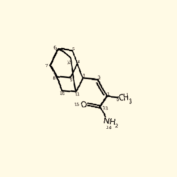 CC(=CC1C2CC3CC(C2)CC1C3)C(N)=O